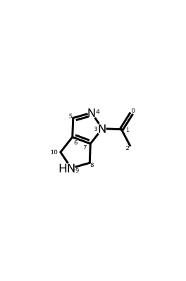 C=C(C)n1ncc2c1CNC2